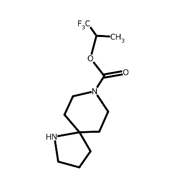 CC(OC(=O)N1CCC2(CCCN2)CC1)C(F)(F)F